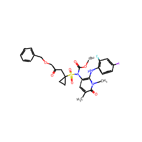 Cc1cc(N(C(=O)OC(C)(C)C)S(=O)(=O)C2(CC(=O)COCc3ccccc3)CC2)c(Nc2ccc(I)cc2F)n(C)c1=O